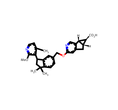 COc1nccc(C)c1C1CC(C)(C)c2ccc(COc3cc4c(cn3)[C@H]3[C@@H](C4)[C@@H]3C(=O)O)cc21